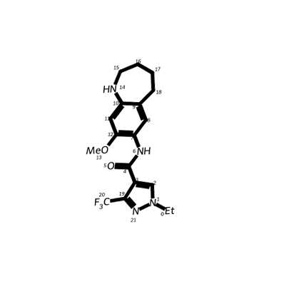 CCn1cc(C(=O)Nc2cc3c(cc2OC)NCCCC3)c(C(F)(F)F)n1